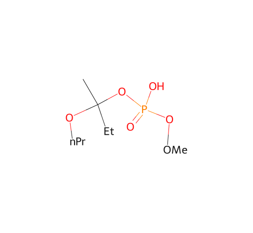 CCCOC(C)(CC)OP(=O)(O)OOC